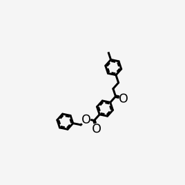 Cc1ccc(CCC(=O)c2ccc(C(=O)OCc3ccccc3)cc2)cc1